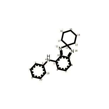 c1ccc(Nc2cccc3c2=NC2(CCCCC2)N=3)cc1